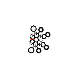 O=C(C1=C(N2CCc3ccccc3C2)C(c2ccccc2)N(C2CCCCCC2)c2ncccc21)C1=C(N2CCc3ccccc3C2)C(c2ccccc2)N(C2CCCCCC2)c2ncccc21